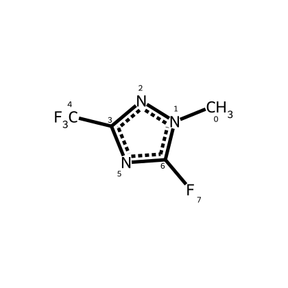 Cn1nc(C(F)(F)F)nc1F